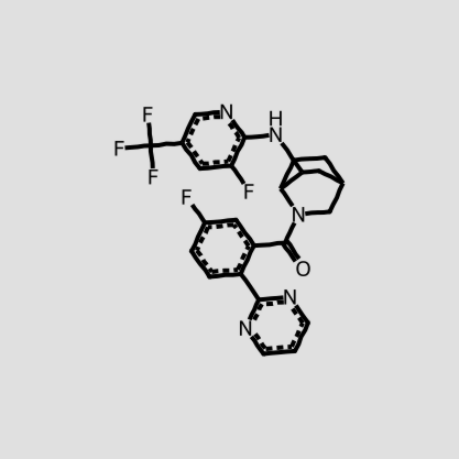 O=C(c1cc(F)ccc1-c1ncccn1)N1CC2CCC1C(Nc1ncc(C(F)(F)F)cc1F)C2